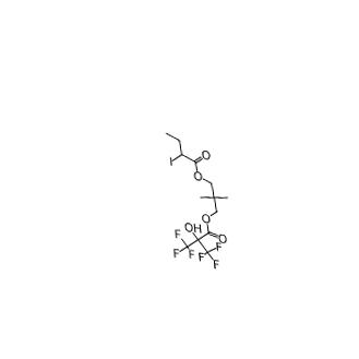 CCC(I)C(=O)OCC(C)(C)COC(=O)C(O)(C(F)(F)F)C(F)(F)F